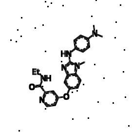 CCNC(=O)c1cc(Oc2ccc3c(c2)nc(Nc2ccc(N(C)C)cc2)n3C)ccn1